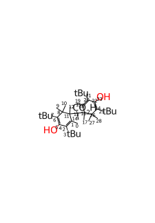 CC1=C(C(C)(C)C)C(O)=C(C(C)(C)C)C(C)(C)C1(C)C(C)(C(=O)O)C1(C)C(C)=C(C(C)(C)C)C(O)=C(C(C)(C)C)C1(C)C